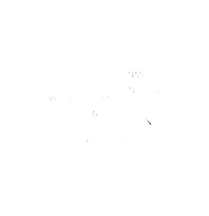 CNN1C(=O)[C@@H](C(=O)[C@@H](NC(=O)OC(C)(C)C)C(C)C)[C@H](C)C1=O